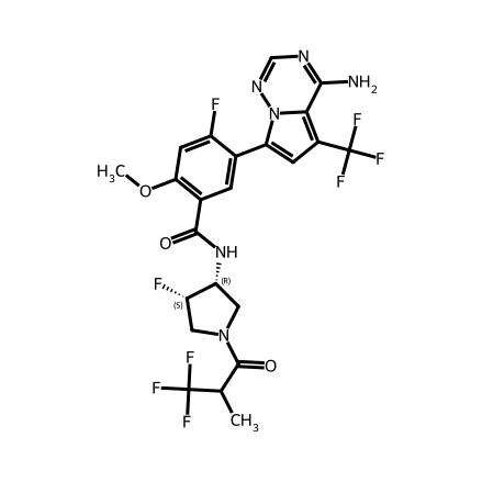 COc1cc(F)c(-c2cc(C(F)(F)F)c3c(N)ncnn23)cc1C(=O)N[C@@H]1CN(C(=O)C(C)C(F)(F)F)C[C@@H]1F